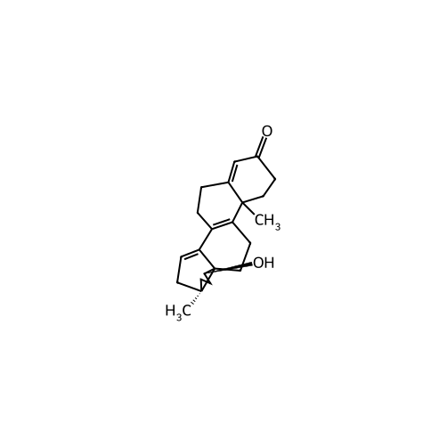 CC12CCC(=O)C=C1CCC1=C2CCC23C1=CC[C@@]2(C)CC[C@H]3O